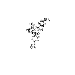 CCCC1CCN(S(=O)(=O)C[C@](C)(C[C@H](S)c2ncc(C)cn2)N(C#N)C=O)CC1